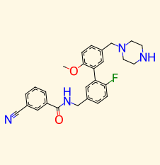 COc1ccc(CN2CCNCC2)cc1-c1cc(CNC(=O)c2cccc(C#N)c2)ccc1F